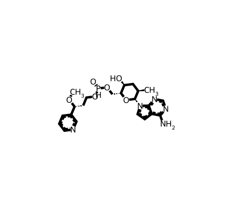 CO[C@H](CCO[PH](=O)OC[C@H]1O[C@@H](n2ccc3c(N)ncnc32)[C@H](C)C[C@@H]1O)c1cccnc1